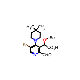 CC1(C)CCN(c2c(Br)cnc(C=O)c2C(OC(C)(C)C)C(=O)O)CC1